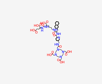 O=C(O)CC[C@H](NC(=O)N[C@@H](CCCCNC(=O)[C@H](Cc1ccc2ccccc2c1)NC(=O)c1ccc(CNC(=O)CN2CCN(CC(=O)O)CCN(CC(=O)O)CCN(CC(=O)O)CC2)cn1)C(=O)O)C(=O)O